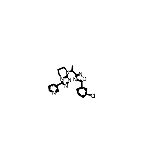 CC(c1noc(-c2cccc(Cl)c2)n1)N1CCCn2c(-c3cccnc3)nnc21